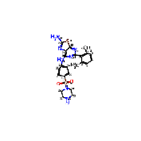 Cc1cccc(C)c1-c1nc(Nc2ccc(S(=O)(=O)N3CCNCC3)cc2)c2nc(N)sc2n1